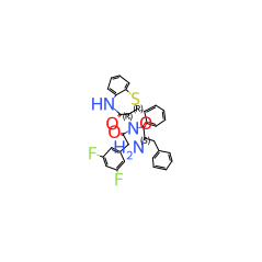 N[C@@H](Cc1ccccc1)C(=O)N(C(=O)Cc1cc(F)cc(F)c1)[C@@H]1C(=O)Nc2ccccc2S[C@@H]1c1ccccc1